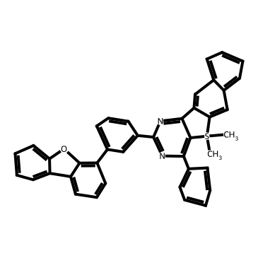 CS1(C)c2cc3ccccc3cc2-c2nc(-c3cccc(-c4cccc5c4oc4ccccc45)c3)nc(-c3ccccc3)c21